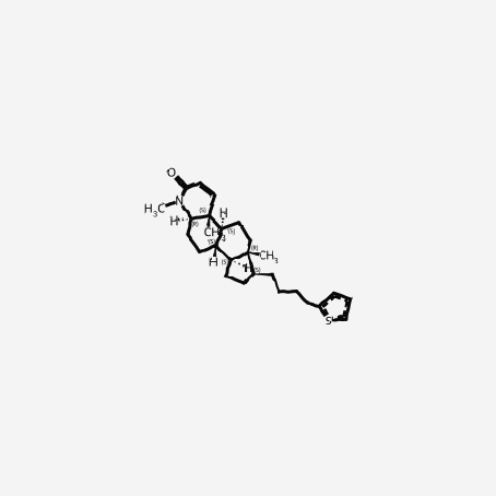 CN1C(=O)C=C[C@]2(C)[C@H]3CC[C@]4(C)[C@@H](CCCCc5cccs5)CC[C@H]4[C@@H]3CC[C@@H]12